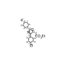 CCOC(=O)Cc1oc(-c2ccc(F)cc2)nc1-c1ccc(Cl)cc1